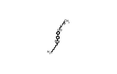 CCCCCCCCc1cnc(-c2ccc(-c3ccc(OC(=O)CCOCC[C@H](F)CC)cc3)cc2)nc1